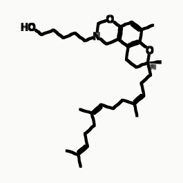 CC(C)=CCCC(C)=CCCC(C)=CCC[C@]1(C)CCc2c3c(cc(C)c2O1)OCN(CCCCCO)C3